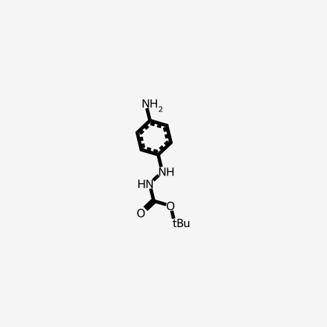 CC(C)(C)OC(=O)NNc1ccc(N)cc1